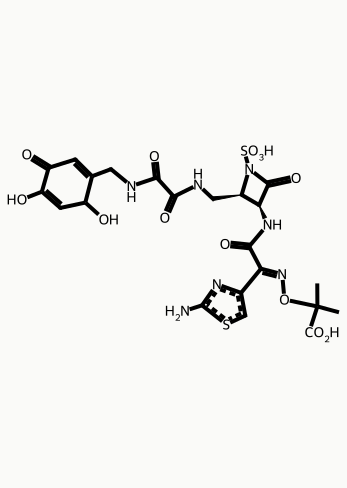 CC(C)(ON=C(C(=O)N[C@@H]1C(=O)N(S(=O)(=O)O)[C@@H]1CNC(=O)C(=O)NCC1=CC(=O)C(O)=CC1O)c1csc(N)n1)C(=O)O